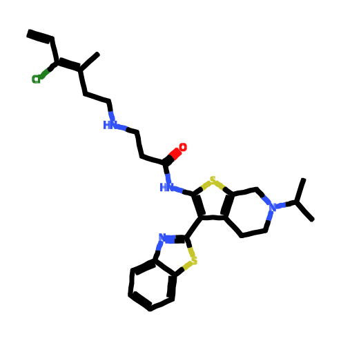 C=C/C(Cl)=C(\C)CCNCCC(=O)Nc1sc2c(c1-c1nc3ccccc3s1)CCN(C(C)C)C2